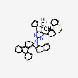 CC1(C)c2ccccc2-c2nc(-n3c4ccc5c6ccccc6c6ccccc6c5c4c4ccc5ccccc5c43)nc(-c3ccc4c(c3)-c3ccccc3SCC4)c21